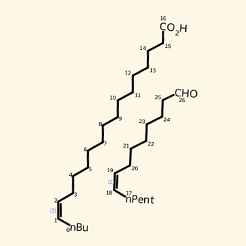 CCCC/C=C\CCCCCCCCCCCCCC(=O)O.CCCCC/C=C\CCCCCCC=O